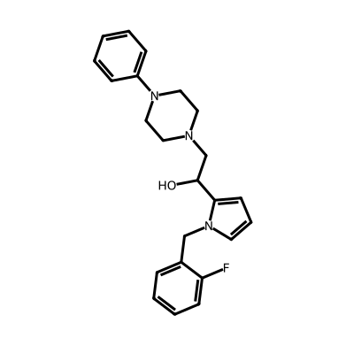 OC(CN1CCN(c2ccccc2)CC1)c1cccn1Cc1ccccc1F